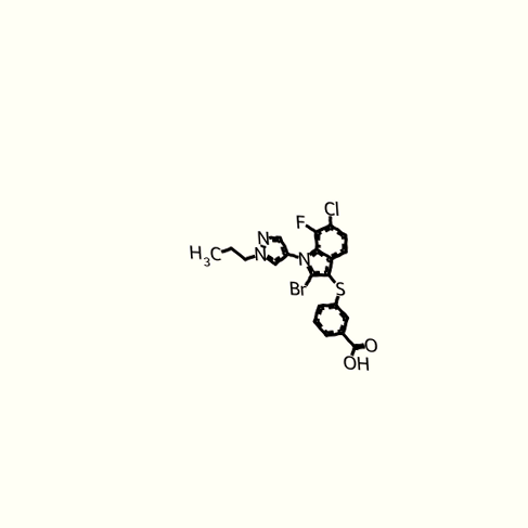 CCCn1cc(-n2c(Br)c(Sc3cccc(C(=O)O)c3)c3ccc(Cl)c(F)c32)cn1